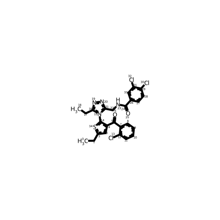 CCc1cc(C(=O)c2ccccc2Cl)c(-n2c(CC)nnc2CNC(=O)c2ccc(Cl)c(Cl)c2)s1